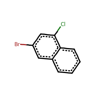 Clc1cc(Br)cc2ccccc12